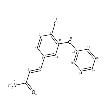 NC(=O)C=Cc1ccc(Cl)c(Oc2ccccc2)c1